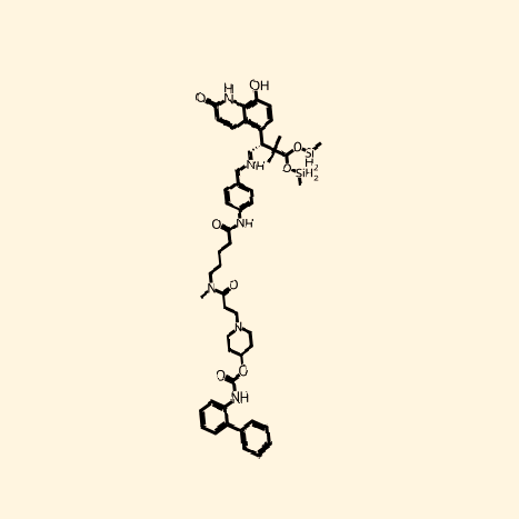 C[SiH2]OC(O[SiH2]C)C(C)(C)[C@H](CNCc1ccc(NC(=O)CCCCN(C)C(=O)CCN2CCC(OC(=O)Nc3ccccc3-c3ccccc3)CC2)cc1)c1ccc(O)c2[nH]c(=O)ccc12